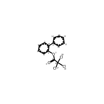 O=C(Oc1ccccc1-c1ccccc1)C(Cl)(Cl)Cl